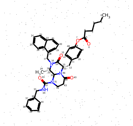 CCCCCC(=O)Oc1ccc(C[C@H]2C(=O)N(Cc3cccc4ccccc34)[C@@H](C)C3N(C(=O)NCc4ccccc4)CCC(=O)N32)cc1